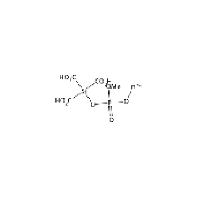 CCCOP(=O)(OC)O[Si](C(=O)O)(C(=O)O)C(=O)O